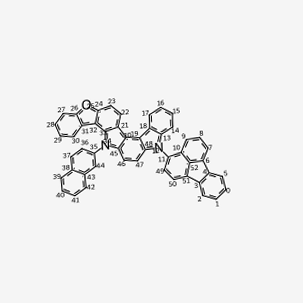 c1ccc2c(c1)-c1cccc3c(-n4c5ccccc5c5c6c7ccc8oc9ccccc9c8c7n(-c7ccc8ccccc8c7)c6ccc54)ccc-2c13